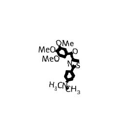 COc1cc(C(=O)c2csc(-c3ccc(N(C)C)cc3)n2)cc(OC)c1OC